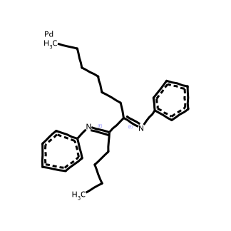 CCCCCCC(=N\c1ccccc1)/C(CCCC)=N/c1ccccc1.[Pd]